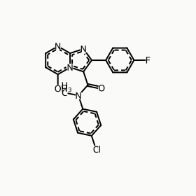 CN(C(=O)c1c(-c2ccc(F)cc2)nc2nccc(O)n12)c1ccc(Cl)cc1